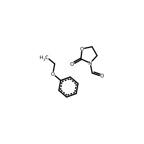 CCOc1ccccc1.O=CN1CCOC1=O